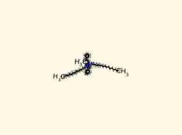 CCCCCCCCCCCCCCCCC[n+]1c(CC(C)c2ccccc2)cn(CCCCCCCCCCCCCC)c1Cc1ccccc1